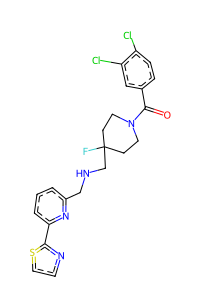 O=C(c1ccc(Cl)c(Cl)c1)N1CCC(F)(CNCc2cccc(-c3nccs3)n2)CC1